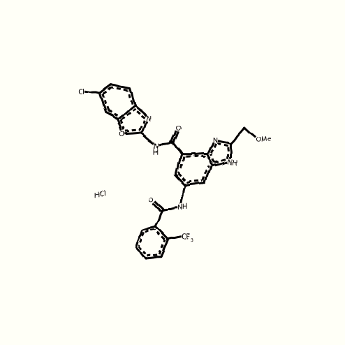 COCc1nc2c(C(=O)Nc3nc4ccc(Cl)cc4o3)cc(NC(=O)c3ccccc3C(F)(F)F)cc2[nH]1.Cl